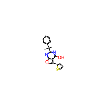 CC(C)(c1ccccc1)c1nc(O)c2c(-c3cccs3)coc2n1